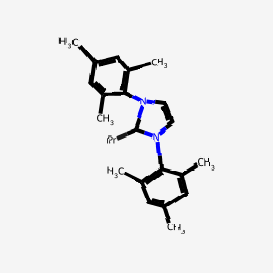 Cc1cc(C)c(N2C=CN(c3c(C)cc(C)cc3C)C2C(C)C)c(C)c1